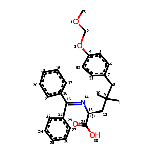 COCOc1ccc(CC(C)(C)C[C@H](N=C(c2ccccc2)c2ccccc2)C(=O)O)cc1